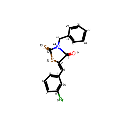 O=C1/C(=C/c2cccc(Br)c2)SC(=S)N1Cc1ccccc1